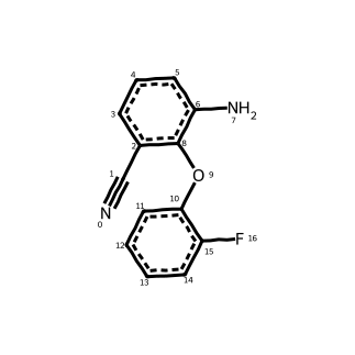 N#Cc1cccc(N)c1Oc1ccccc1F